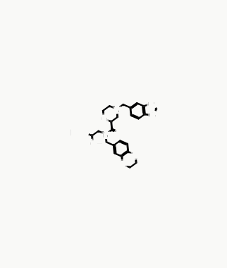 CC(C)CN(Cc1ccc2c(c1)OCCO2)C(=O)C1CN(Cc2ccc3c(c2)OCO3)CCO1